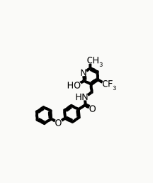 Cc1cc(C(F)(F)F)c(CNC(=O)c2ccc(Oc3ccccc3)cc2)c(O)n1